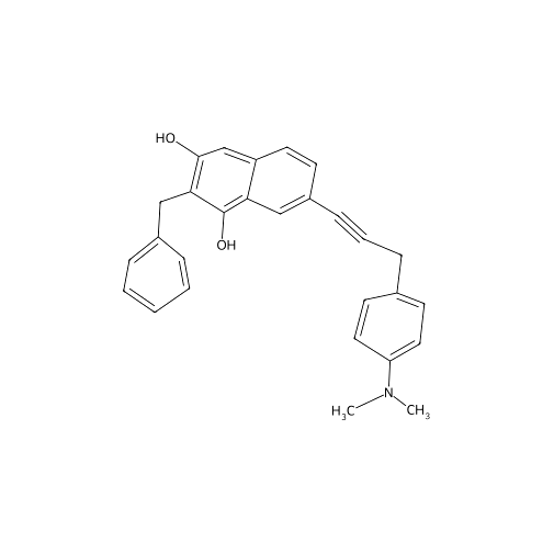 CN(C)c1ccc(CC#Cc2ccc3cc(O)c(Cc4ccccc4)c(O)c3c2)cc1